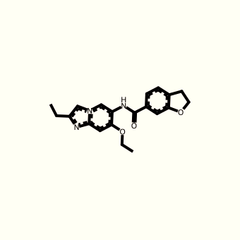 CCOc1cc2nc(CC)cn2cc1NC(=O)c1ccc2c(c1)OCC2